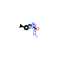 NC(=O)c1nnc(Cc2cc(C3CC3)ccc2F)[nH]1